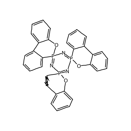 c1ccc2c(c1)OP1(=NP3(=NP4(=N1)Oc1ccccc1-c1ccccc14)Oc1ccccc1-c1ccccc13)c1ccccc1-2